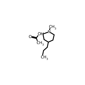 CC(=O)O.CCCC1CCN(C)CC1